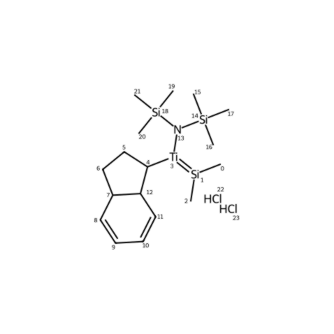 C[Si](C)=[Ti]([CH]1CCC2C=CC=CC21)[N]([Si](C)(C)C)[Si](C)(C)C.Cl.Cl